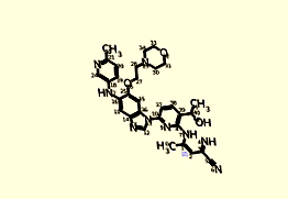 C/C(=C/C(=N)C#N)Nc1nc(-n2cnc3cc(Nc4ccc(C)nc4)c(OCCN4CCOCC4)cc32)ccc1C(C)O